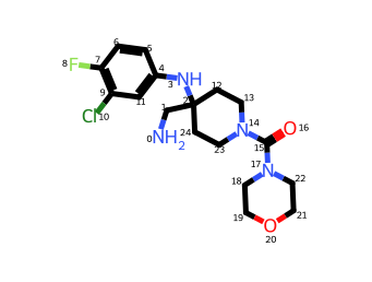 NCC1(Nc2ccc(F)c(Cl)c2)CCN(C(=O)N2CCOCC2)CC1